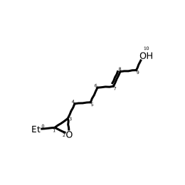 CCC1OC1CCCC=CCO